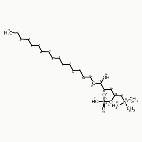 CCCCCCCCCCCCCCCCOC(O)CCC(C[N+](C)(C)C)OP(=O)([O-])O